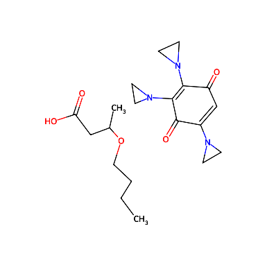 CCCCOC(C)CC(=O)O.O=C1C=C(N2CC2)C(=O)C(N2CC2)=C1N1CC1